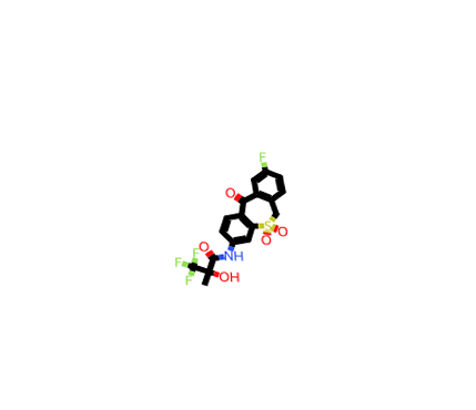 CC(O)(C(=O)Nc1ccc2c(c1)S(=O)(=O)Cc1ccc(F)cc1C2=O)C(F)(F)F